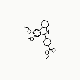 CCOC(=O)C1CCC(C2=NC3CCCCC3c3cc(OCC)c(OC)cc32)CC1